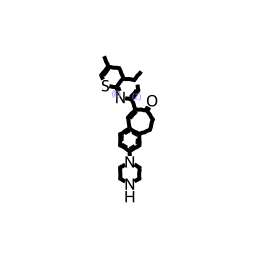 C/C=C(\N=C1\SC=C(C)CC1CC)C1=Cc2ccc(N3CCNCC3)cc2CCC1=O